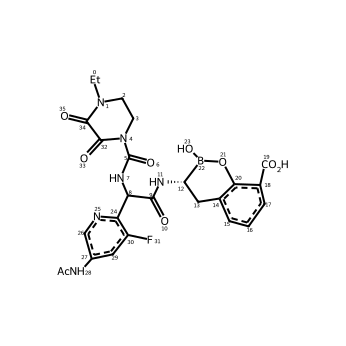 CCN1CCN(C(=O)NC(C(=O)N[C@H]2Cc3cccc(C(=O)O)c3OB2O)c2ncc(NC(C)=O)cc2F)C(=O)C1=O